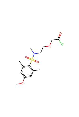 COc1cc(C)c(S(=O)(=O)N(C)CCOCC(=O)Cl)c(C)c1